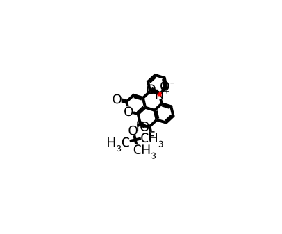 CC(C)(C)OC(=O)c1oc(=O)cc(-c2ccccc2)c1-c1c(C(F)F)cccc1[N+](=O)[O-]